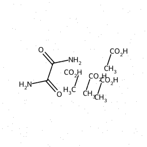 CC(=O)O.CC(=O)O.CC(=O)O.CC(=O)O.NC(=O)C(N)=O